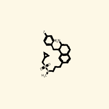 CN(CCCc1ccc2c(c1)C(Cc1ccc(F)cc1)C(N)CC2)S(=O)(=O)CC1CC1